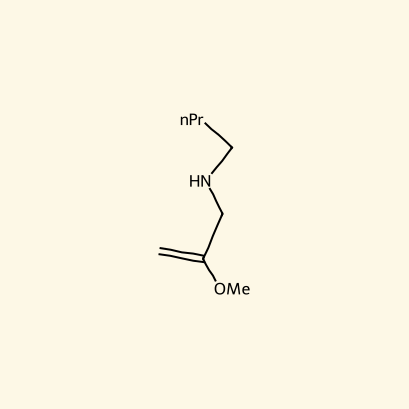 C=C(CNCCCC)OC